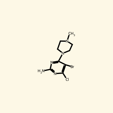 CN1CCN(c2nc(N)nc(Cl)c2Br)CC1